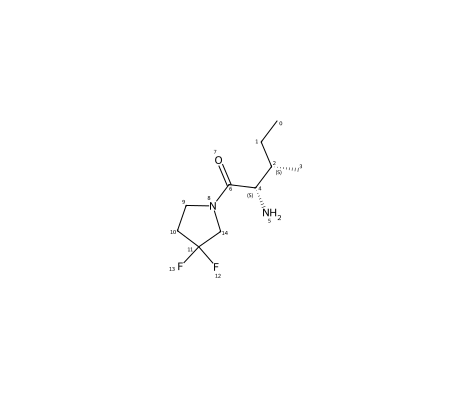 CC[C@H](C)[C@H](N)C(=O)N1CCC(F)(F)C1